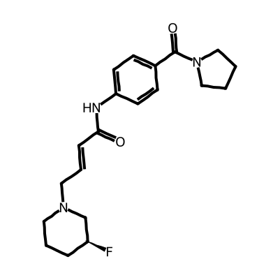 O=C(/C=C/CN1CCC[C@H](F)C1)Nc1ccc(C(=O)N2CCCC2)cc1